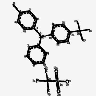 Cc1ccc([Se+](c2ccccc2)c2ccc(C(C)(C)C)cc2)cc1.O=S(=O)([O-])C(F)(F)F